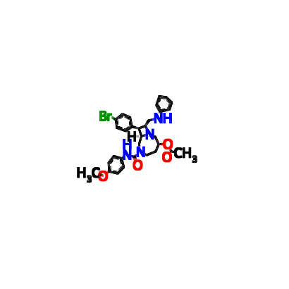 COc1ccc(NC(=O)N2CC[C@H](OC(C)=O)CN3[C@H](CNc4ccccc4)[C@H](c4ccc(Br)cc4)[C@@H]3C2)cc1